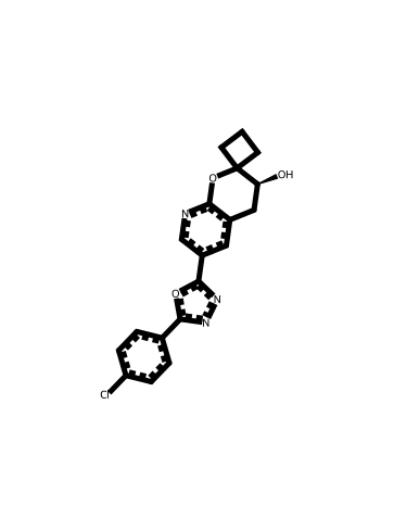 O[C@H]1Cc2cc(-c3nnc(-c4ccc(Cl)cc4)o3)cnc2OC12CCC2